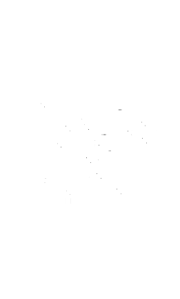 CC(=O)N[C@@H](CCS)C(=O)N[C@@H](CCC(N)=O)C(=O)N[C@H](Cc1ccccc1)C(=O)N[C@@H](CCCNC(=N)N)C(=O)N[C@@H](Cc1c[nH]c2ccccc12)C(=O)N[C@@H](CS)C(=O)N1CCC[C@H]1C